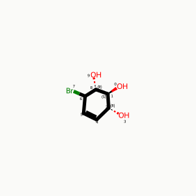 O[C@H]1[C@H](O)C=CC(Br)[C@@H]1O